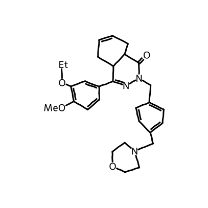 CCOc1cc(C2=NN(Cc3ccc(CN4CCOCC4)cc3)C(=O)C3CC=CCC23)ccc1OC